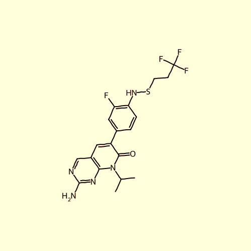 CC(C)n1c(=O)c(-c2ccc(NSCCC(F)(F)F)c(F)c2)cc2cnc(N)nc21